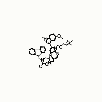 COc1ccc2c(c1)c(-c1cc3c(ncc4cnc(CN(CC5c6ccccc6-c6ccccc65)C(=O)O)n43)n1COCC[Si](C)(C)C)cn2C